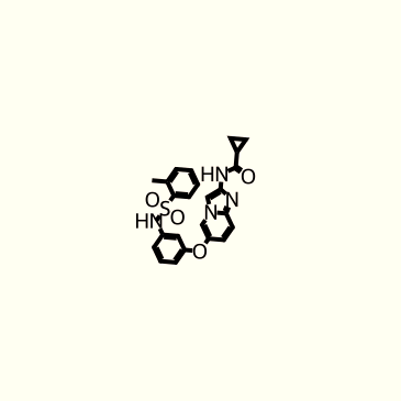 Cc1ccccc1S(=O)(=O)Nc1cccc(Oc2ccc3nc(NC(=O)C4CC4)cn3c2)c1